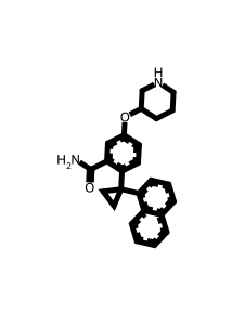 NC(=O)c1cc(OC2CCCNC2)ccc1C1(c2cccc3ccccc23)CC1